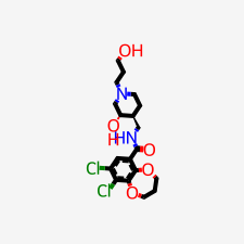 O=C(NC[C@@H]1CCN(CCCO)C[C@H]1O)c1cc(Cl)c(Cl)c2c1OCCCO2